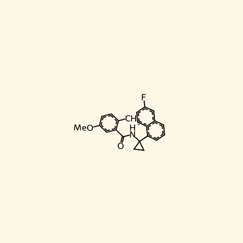 COc1ccc(C)c(C(=O)NC2(c3cccc4cc(F)ccc34)CC2)c1